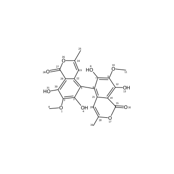 COc1c(O)c(-c2c(O)c(OC)c(O)c3c(=O)oc(C)cc23)c2cc(C)oc(=O)c2c1O